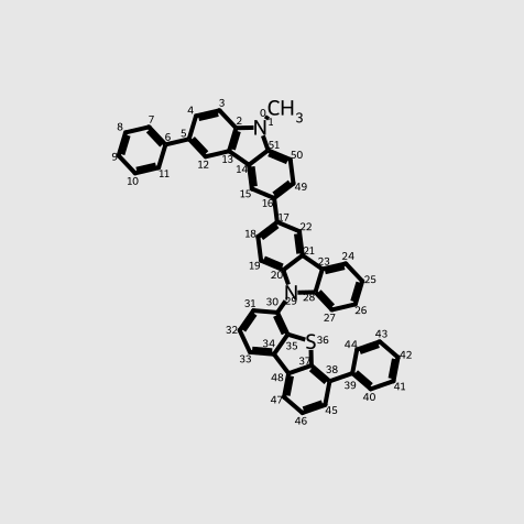 Cn1c2ccc(-c3ccccc3)cc2c2cc(-c3ccc4c(c3)c3ccccc3n4-c3cccc4c3sc3c(-c5ccccc5)cccc34)ccc21